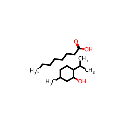 CC1CCC(C(C)C)C(O)C1.CCCCCCCC(=O)O